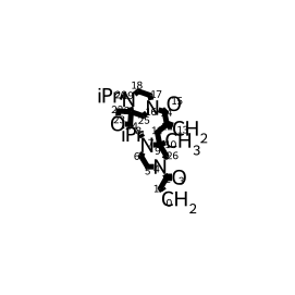 C=CC(=O)N1CCN(C(C)C)C(C)(CC(=C)C(=O)N2CCN(C(C)C)C3(COC3)C2)C1